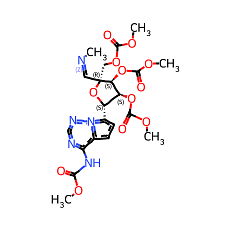 C/N=C\[C@]1(COC(=O)OC)O[C@@H](c2ccc3c(NC(=O)OC)ncnn23)[C@H](OC(=O)OC)[C@@H]1OC(=O)OC